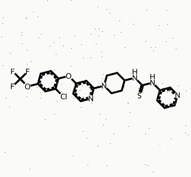 FC(F)(F)Oc1ccc(Oc2ccnc(N3CCC(NC(=S)Nc4cccnc4)CC3)c2)c(Cl)c1